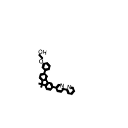 CC1(C)c2ccc(-c3ccc(-c4ccccn4)nc3)cc2-c2cc(-c3cccc(OCCO)c3)ccc21